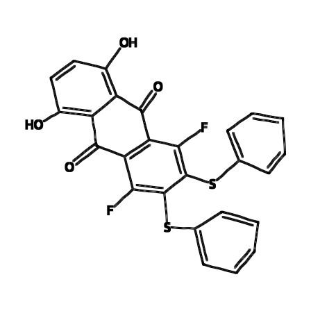 O=C1c2c(O)ccc(O)c2C(=O)c2c(F)c(Sc3ccccc3)c(Sc3ccccc3)c(F)c21